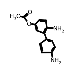 CC(=O)Oc1ccc(N)c(-c2ccc(N)cc2)c1